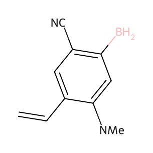 Bc1cc(NC)c(C=C)cc1C#N